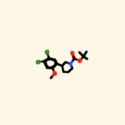 COc1cc(Cl)c(Cl)cc1C1CCCN(C(=O)OC(C)(C)C)C1